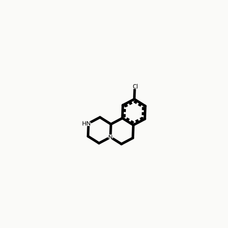 Clc1ccc2c(c1)C1CNCCN1CC2